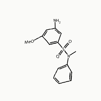 COc1cc(N)cc(S(=O)(=O)N(C)c2ccccc2)c1